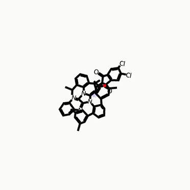 Cc1cc(C)cc(-c2cccc(-c3cc(C)cc(C)c3)c2N2/C(=C/C=C3C(=O)c4cc(Cl)c(Cl)cc4C3=O)N(c3c(C(C)C)cccc3C(C)C)c3nc4ccccc4nc32)c1